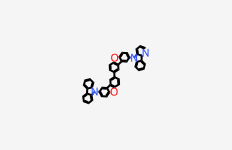 c1ccc2c(c1)c1ccccc1n2-c1ccc2oc3ccc(-c4ccc5oc6ccc(-n7c8ccccc8c8ncccc87)cc6c5c4)cc3c2c1